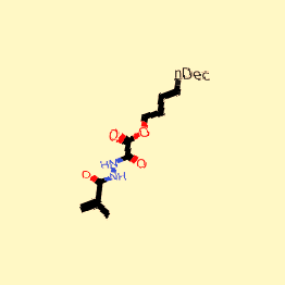 C=C(C)C(=O)NNC(=O)C(=O)OCCCCCCCCCCCCCC